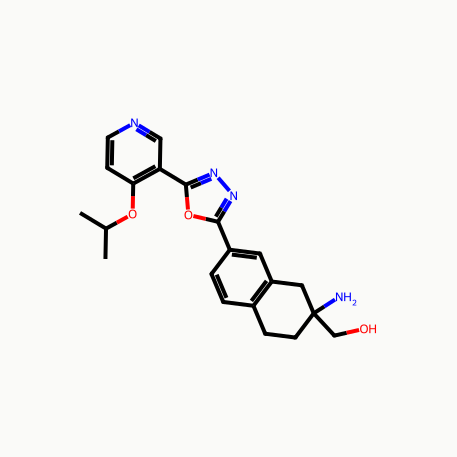 CC(C)Oc1ccncc1-c1nnc(-c2ccc3c(c2)CC(N)(CO)CC3)o1